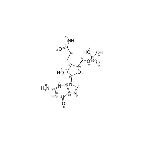 CNC(=O)CC[C@H]1[C@@H](O)[C@H](n2cnc3c(=O)[nH]c(N)nc32)O[C@@H]1COP(=O)(O)O